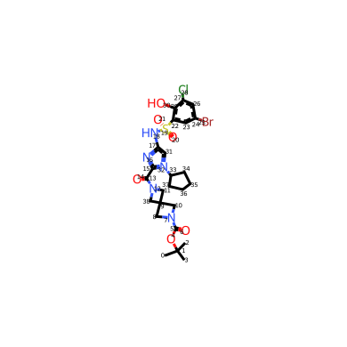 CC(C)(C)OC(=O)N1CC2(C1)CN(C(=O)c1nc(NS(=O)(=O)c3cc(Br)cc(Cl)c3O)cn1C1CCCC1)C2